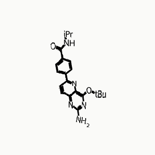 CC(C)NC(=O)c1ccc(-c2ccc3nc(N)nc(OC(C)(C)C)c3n2)cc1